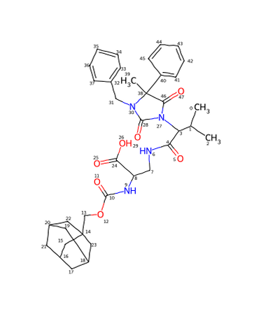 CC(C)C(C(=O)NCC(NC(=O)OCC12CC3CC(CC(C3)C1)C2)C(=O)O)N1C(=O)N(Cc2ccccc2)C(C)(c2ccccc2)C1=O